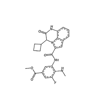 CNc1c(F)cc(C(=O)OC)cc1NC(=O)c1cc2cccc3c2n1C(C1CCC1)C(=O)N3